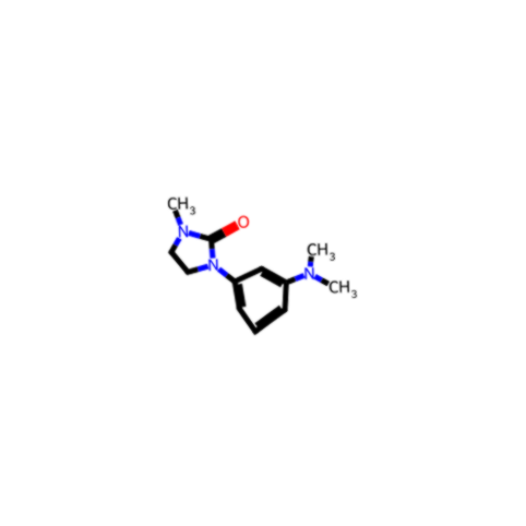 CN1CCN(c2cccc(N(C)C)c2)C1=O